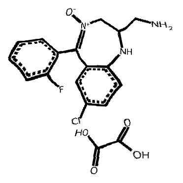 NCC1C[N+]([O-])=C(c2ccccc2F)c2cc(Cl)ccc2N1.O=C(O)C(=O)O